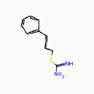 N=C(N)SC/C=C/c1ccccc1